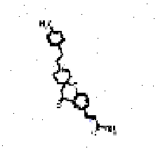 Cc1ccc(CCN2CCC3(CC2)CC(=O)c2cc(/C=C/C(=O)NO)ccc2O3)cc1